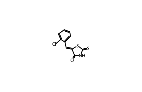 O=C1NC(=S)S/C1=C\c1ccccc1Cl